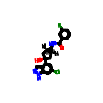 O=C(NC1[C@H]2CC(O)(c3cc(Cl)cc4[nH]ncc34)C[C@@H]12)c1cccc(F)c1